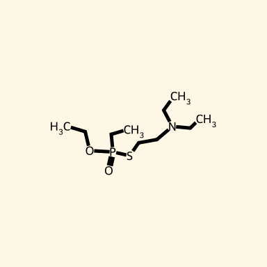 CCOP(=O)(CC)SCCN(CC)CC